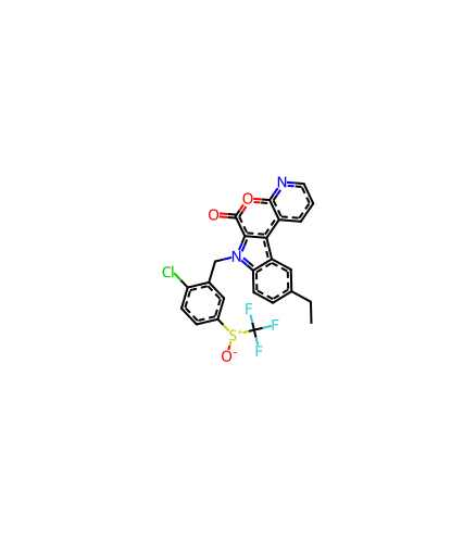 CCc1ccc2c(c1)c1c3cccnc3oc(=O)c1n2Cc1cc([S+]([O-])C(F)(F)F)ccc1Cl